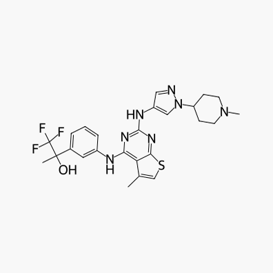 Cc1csc2nc(Nc3cnn(C4CCN(C)CC4)c3)nc(Nc3cccc(C(C)(O)C(F)(F)F)c3)c12